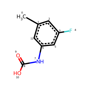 Cc1cc(F)cc(NC(=O)O)c1